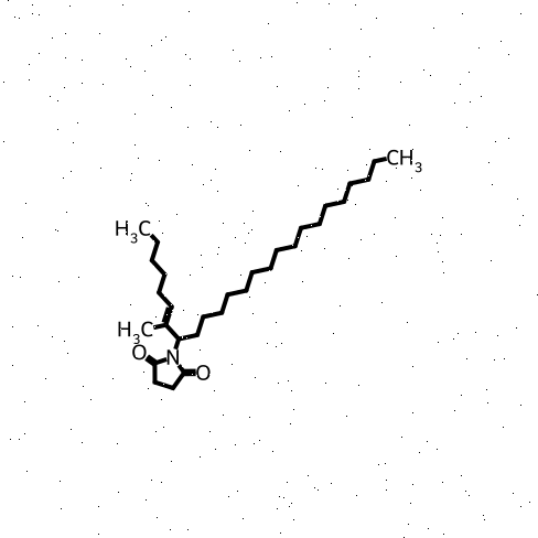 CCCCC/C=C(\C)C(CCCCCCCCCCCCCCCCC)N1C(=O)CCC1=O